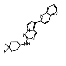 FC1(F)CCC(Nc2ncc3c(-c4ccc5ncccc5n4)ccn3n2)CC1